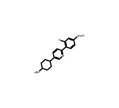 CCCCCc1ccc(-c2ccc(C3CCC(CCCC)CC3)cn2)c(F)c1